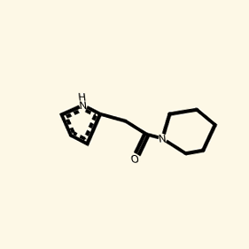 O=C(Cc1ccc[nH]1)N1CCCCC1